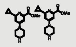 COC(=O)c1cc(N2CCNCC2)cc(C2CC2)n1.COC(=O)c1cc(N2CCNCC2)cc(C2CC2)n1